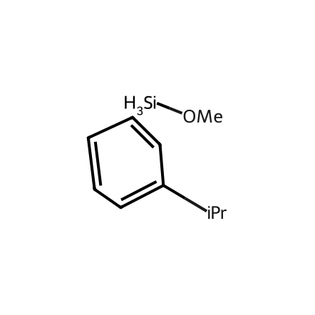 CC(C)c1ccccc1.CO[SiH3]